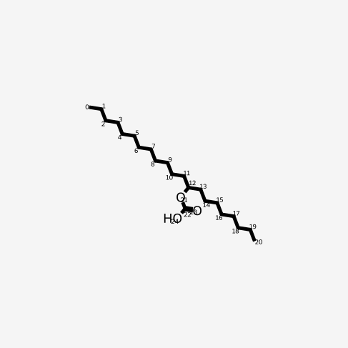 CCCCCCCCCCCCC(CCCCCCCC)OC(=O)O